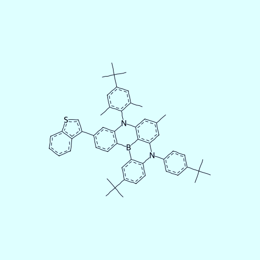 Cc1cc2c3c(c1)N(c1c(C)cc(C(C)(C)C)cc1C)c1cc(-c4csc5ccccc45)ccc1B3c1cc(C(C)(C)C)ccc1N2c1ccc(C(C)(C)C)cc1